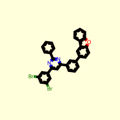 Brc1cc(Br)cc(-c2cc(-c3cccc(-c4ccc5oc6ccccc6c5c4)c3)nc(-c3ccccc3)n2)c1